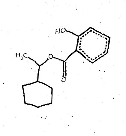 CC(OC(=O)c1ccccc1O)C1CCCCC1